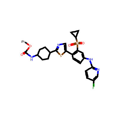 CC(C)OC(=O)NC1CCC(c2ncc(-c3ccc(Nc4ccc(F)cn4)cc3S(=O)(=O)C3CC3)s2)CC1